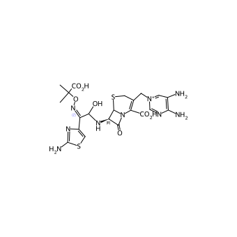 CC(C)(O/N=C(/c1csc(N)n1)C(O)N[C@@H]1C(=O)N2C(C(=O)O)=C(C[n+]3cnc(N)c(N)c3)CSC12)C(=O)O